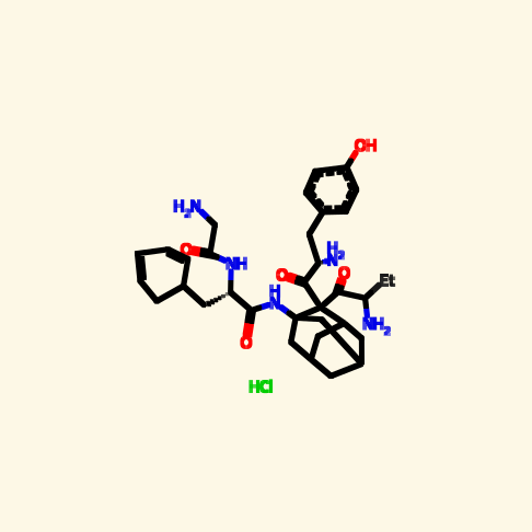 CCC(N)C(=O)C1(C(=O)[C@@H](N)Cc2ccc(O)cc2)C2CC3CC(C2)CC1(NC(=O)[C@H](CC1C=CC=CC1)NC(=O)CN)C3.Cl